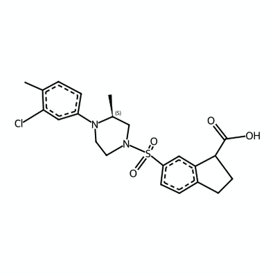 Cc1ccc(N2CCN(S(=O)(=O)c3ccc4c(c3)C(C(=O)O)CC4)C[C@@H]2C)cc1Cl